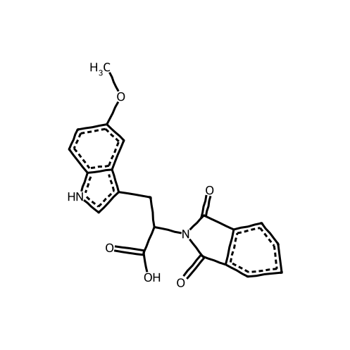 COc1ccc2[nH]cc(CC(C(=O)O)N3C(=O)c4ccccc4C3=O)c2c1